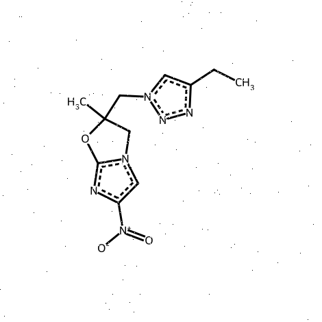 CCc1cn(CC2(C)Cn3cc([N+](=O)[O-])nc3O2)nn1